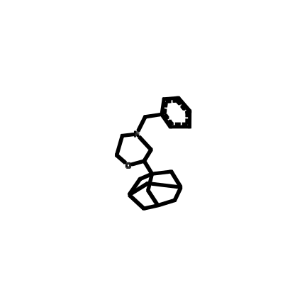 c1ccc(CN2CCOC(C34CC5CC(CC(C5)C3)C4)C2)cc1